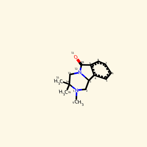 CN1CC2c3ccccc3C(=O)N2CC1(C)C